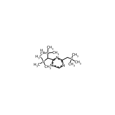 C[Si](C)(C)Cc1ncnc(C([Si](C)(C)C)[Si](C)(C)C)n1